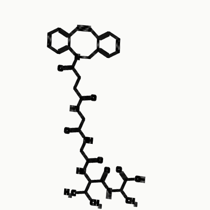 CC(NC(=O)C(NC(=O)CNC(=O)CNC(=O)CCC(=O)N1Cc2ccccc2C#Cc2ccccc21)C(C)C)C(=O)O